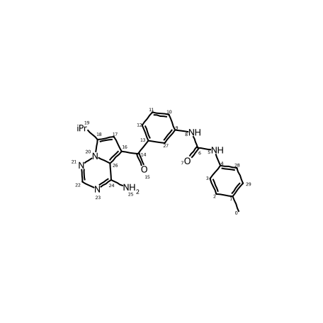 Cc1ccc(NC(=O)Nc2cccc(C(=O)c3cc(C(C)C)n4ncnc(N)c34)c2)cc1